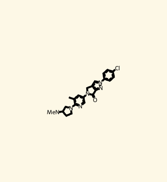 CNC1CCN(c2ncc(N3Cc4cn(-c5ccc(Cl)cc5)nc4C3=O)cc2C)C1